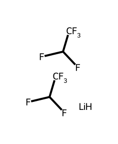 FC(F)C(F)(F)F.FC(F)C(F)(F)F.[LiH]